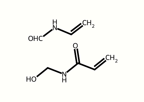 C=CC(=O)NCO.C=CNC=O